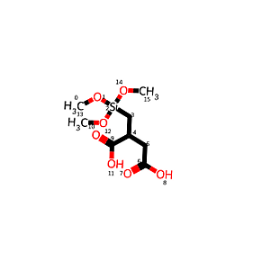 CO[Si](CC(CC(=O)O)C(=O)O)(OC)OC